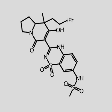 CC(C)CCC1(C)C(O)=C(C2=NS(=O)(=O)c3cc(NS(C)(=O)=O)ccc3N2)C(=O)N2CCCC21